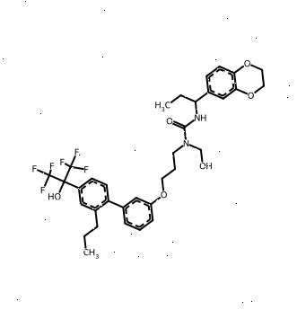 CCCc1cc(C(O)(C(F)(F)F)C(F)(F)F)ccc1-c1cccc(OCCCN(CO)C(=O)NC(CC)c2ccc3c(c2)OCCO3)c1